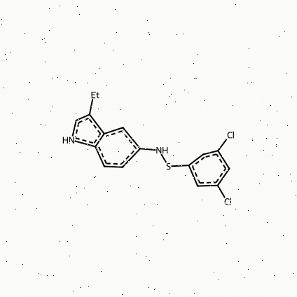 CCc1c[nH]c2ccc(NSc3cc(Cl)cc(Cl)c3)cc12